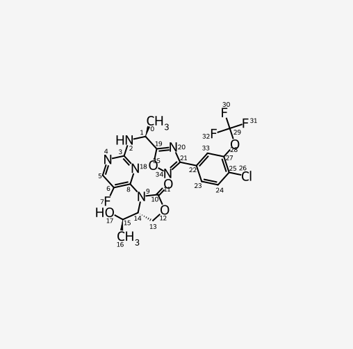 C[C@H](Nc1ncc(F)c(N2C(=O)OC[C@@H]2[C@@H](C)O)n1)c1nc(-c2ccc(Cl)c(OC(F)(F)F)c2)no1